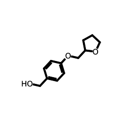 OCc1ccc(OCC2CCCO2)cc1